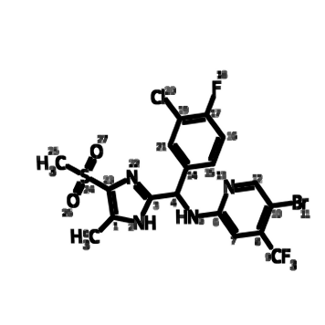 Cc1[nH]c(C(Nc2cc(C(F)(F)F)c(Br)cn2)c2ccc(F)c(Cl)c2)nc1S(C)(=O)=O